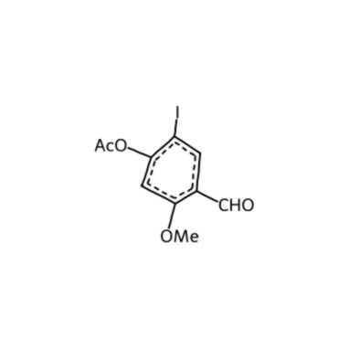 COc1cc(OC(C)=O)c(I)cc1C=O